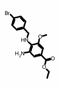 CCOC(=O)c1cc(N)c(NCc2ccc(Br)cc2)c(OC)c1